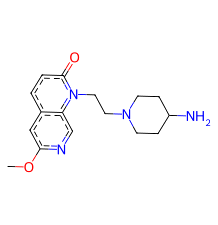 COc1cc2ccc(=O)n(CCN3CCC(N)CC3)c2cn1